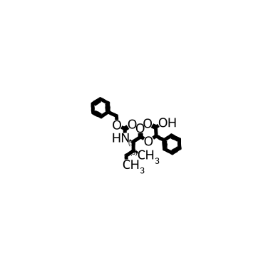 CC[C@H](C)[C@H](NC(=O)OCc1ccccc1)C(=O)OC(C(=O)O)c1ccccc1